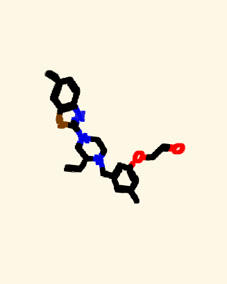 CC[C@H]1CN(c2nc3ccc(C)cc3s2)CCN1Cc1cc(C)cc(OCC=O)c1